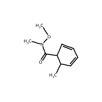 CON(C)C(=O)C1C=CC=CC1C